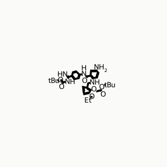 CCOc1cccc(CNc2ccc(N)cc2C(=O)Nc2ccc(C(=N)NC(=O)OC(C)(C)C)cc2)c1OCC(=O)OC(C)(C)C